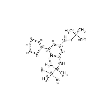 CCCC(C)(C)CNc1nc(NC(C)(C)C(C)(CC)CC)nc(-c2ccccc2)n1